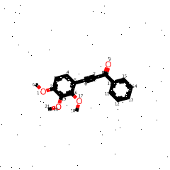 COc1ccc(C#CC(=O)c2ccccc2)c(OC)c1OC